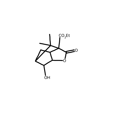 CCOC(=O)C12C(=O)OC3C(O)C(CC31)C2(C)C